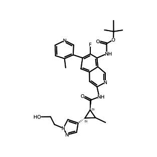 Cc1ccncc1-c1cc2cc(NC(=O)[C@H]3C(C)[C@@H]3c3cnn(CCO)c3)ncc2c(NC(=O)OC(C)(C)C)c1F